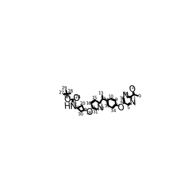 CC(=O)c1ncc(Oc2ccc(C(C)c3ccc(O[C@H]4C[C@H](NC(=O)OC(C)(C)C)C4)cn3)cc2)cn1